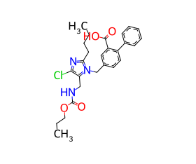 CCCCc1nc(Cl)c(CNC(=O)OCCC)n1Cc1ccc(-c2ccccc2)c(C(=O)O)c1